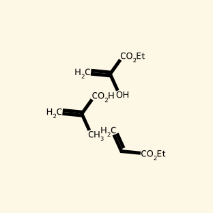 C=C(C)C(=O)O.C=C(O)C(=O)OCC.C=CC(=O)OCC